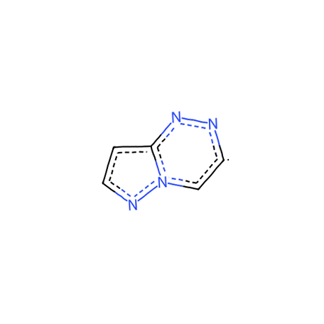 [c]1cn2nccc2nn1